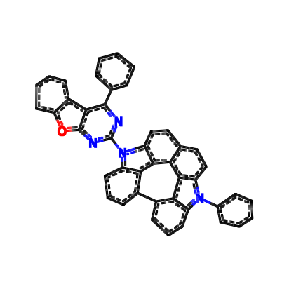 c1ccc(-c2nc(-n3c4cccc5c4c4c6c(ccc7c6c6c-5cccc6n7-c5ccccc5)ccc43)nc3oc4ccccc4c23)cc1